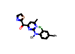 CCN(c1nc(C)cc(C(=O)c2nccs2)n1)c1ccc(C(C)C)cc1Br